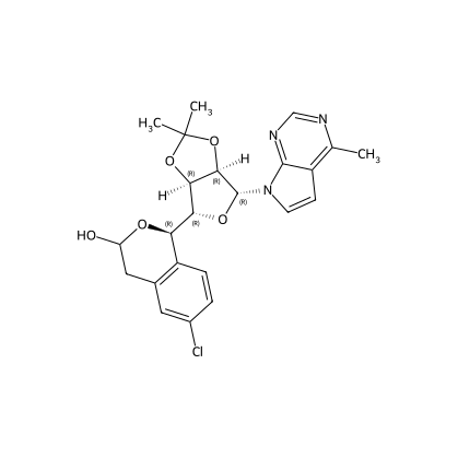 Cc1ncnc2c1ccn2[C@@H]1O[C@H]([C@@H]2OC(O)Cc3cc(Cl)ccc32)[C@H]2OC(C)(C)O[C@H]21